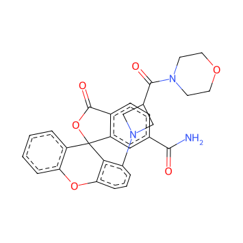 NC(=O)c1ccc2c(c1)C1(OC2=O)c2ccccc2Oc2cccc(N3CC(C(=O)N4CCOCC4)C3)c21